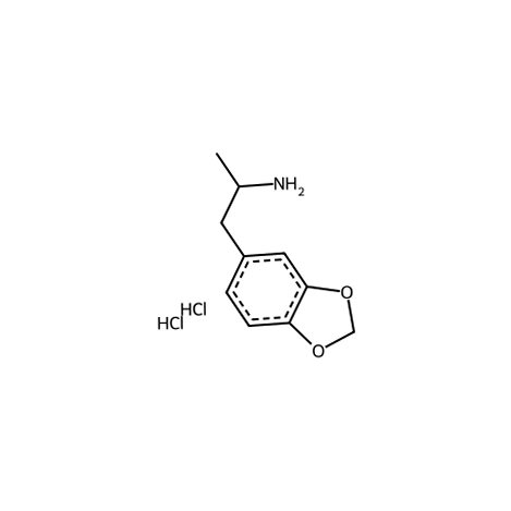 CC(N)Cc1ccc2c(c1)OCO2.Cl.Cl